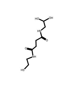 O=C(CCC(=O)NCC(O)O)NCCS